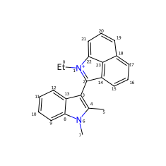 CC[N+]1=C(c2c(C)n(C)c3ccccc23)c2cccc3cccc1c23